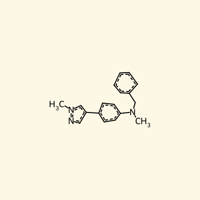 CN(Cc1ccccc1)c1ccc(-c2cnn(C)c2)cc1